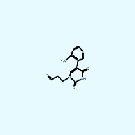 Cc1ccncc1-c1cn(CCC=O)c(=O)[nH]c1=O